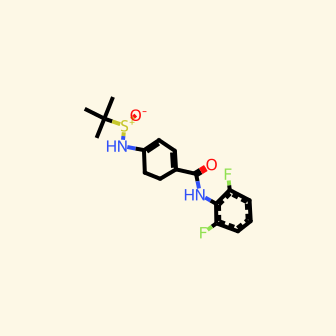 CC(C)(C)[S+]([O-])NC1=CC=C(C(=O)Nc2c(F)cccc2F)CC1